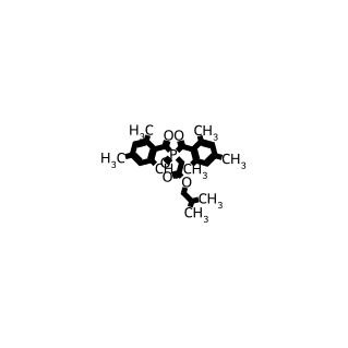 Cc1cc(C)c(C(=O)P(=O)(CC(=O)OCC(C)C)C(=O)c2c(C)cc(C)cc2C)c(C)c1